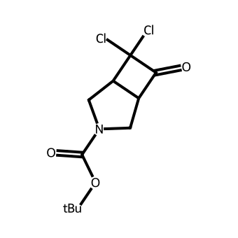 CC(C)(C)OC(=O)N1CC2C(=O)C(Cl)(Cl)C2C1